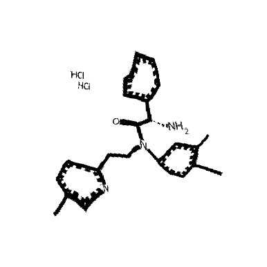 Cc1ccc(CCN(C(=O)[C@@H](N)c2ccccc2)c2ccc(C)c(C)c2)nc1.Cl.Cl